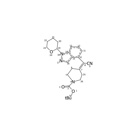 CC(C)(C)OC(=O)N1CCC(=C(C#N)c2cccc3c2cnn3C2CCCCO2)CC1